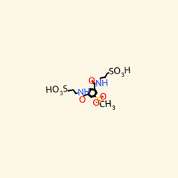 CS(=O)(=O)c1cc(C(=O)NCCCS(=O)(=O)O)cc(C(=O)NCCCS(=O)(=O)O)c1